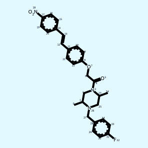 CC1CN(C(=O)COc2ccc(C=Cc3ccc([N+](=O)[O-])cc3)cc2)C(C)CN1Cc1ccc(F)cc1